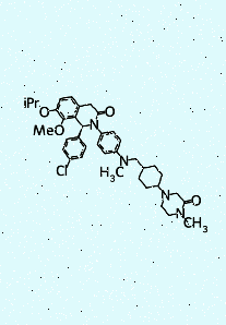 COc1c(OC(C)C)ccc2c1[C@H](c1ccc(Cl)cc1)N(c1ccc(N(C)CC3CCC(N4CCN(C)C(=O)C4)CC3)cc1)C(=O)C2